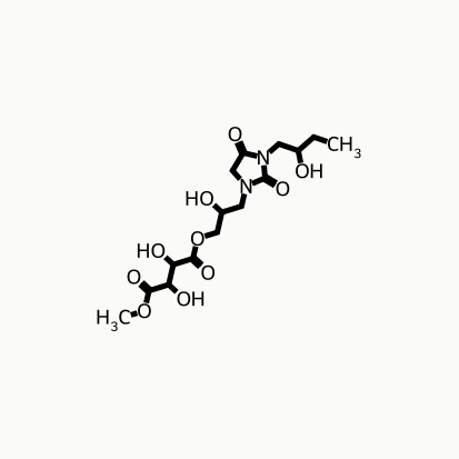 CCC(O)CN1C(=O)CN(CC(O)COC(=O)C(O)C(O)C(=O)OC)C1=O